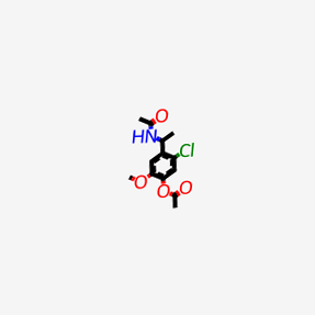 COc1cc(C(C)NC(C)=O)c(Cl)cc1OC(C)=O